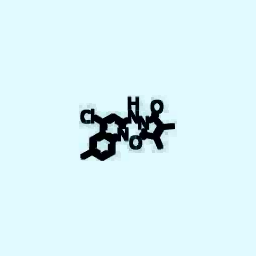 CC1=C(C)C(=O)N(Nc2cc(Cl)c3cc(C)ccc3n2)C1=O